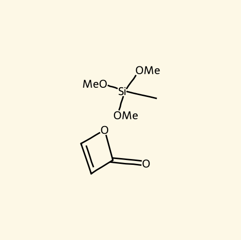 CO[Si](C)(OC)OC.O=C1C=CO1